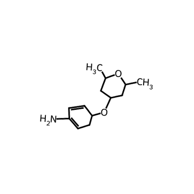 CC1CC(OC2C=CC(N)=CC2)CC(C)O1